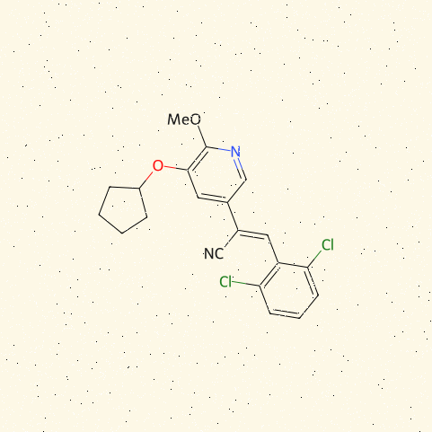 COc1ncc(C(C#N)=Cc2c(Cl)cccc2Cl)cc1OC1CCCC1